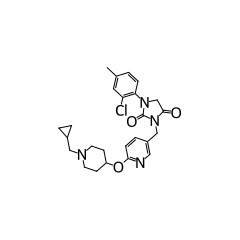 Cc1ccc(N2CC(=O)N(Cc3ccc(OC4CCN(CC5CC5)CC4)nc3)C2=O)c(Cl)c1